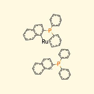 [Ru][c]1c(P(c2ccccc2)c2ccccc2)ccc2ccccc12.[c]1c(P(c2ccccc2)c2ccccc2)ccc2ccccc12